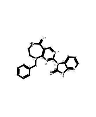 O=C1NCCN(Cc2ccccc2)c2nc(-n3c(=O)[nH]c4ncccc43)ncc21